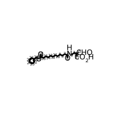 O=[C][C@H](CCNC(=O)CCCCCCCCCCC(=O)OCc1ccccc1)C(=O)O